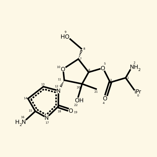 CC(C)C(N)C(=O)OC1[C@@H](CO)O[C@@H](n2ccc(N)nc2=O)C1(C)O